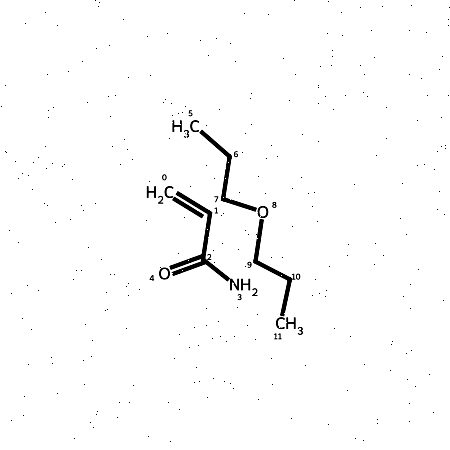 C=CC(N)=O.CCCOCCC